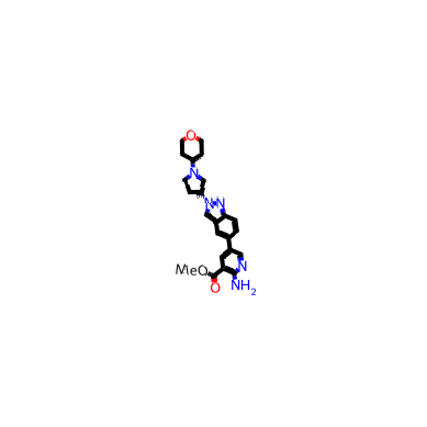 COC(=O)c1cc(-c2ccc3nn([C@@H]4CCN(C5CCOCC5)C4)cc3c2)cnc1N